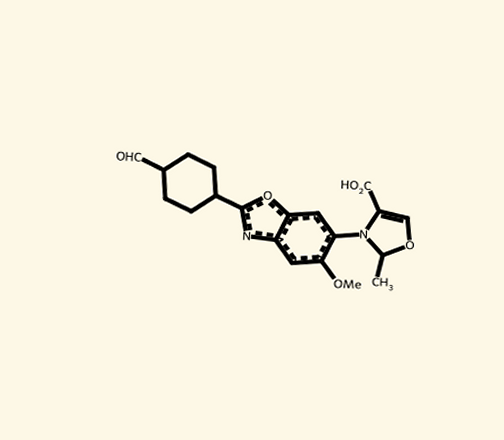 COc1cc2nc(C3CCC(C=O)CC3)oc2cc1N1C(C(=O)O)=COC1C